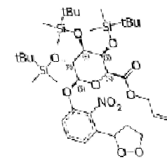 C=CCOC(=O)[C@H]1O[C@@H](Oc2cccc(C3CCOO3)c2[N+](=O)[O-])[C@H](O[Si](C)(C)C(C)(C)C)[C@@H](O[Si](C)(C)C(C)(C)C)[C@H]1O[Si](C)(C)C(C)(C)C